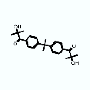 CC(C)(O)C(=O)c1ccc(C(C)(C)c2ccc(C(=O)C(C)(C)O)cc2)cc1